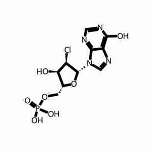 O=P(O)(O)OC[C@H]1O[C@@H](n2cnc3c(O)ncnc32)[C@H](Cl)[C@@H]1O